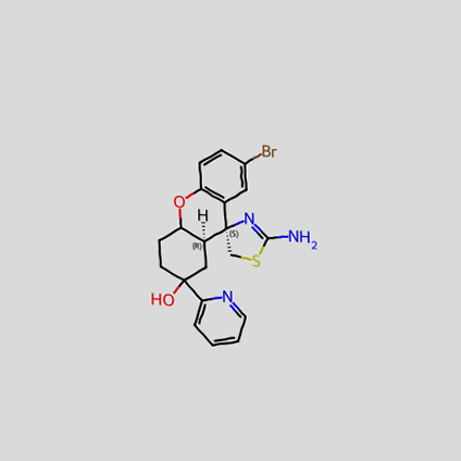 NC1=N[C@]2(CS1)c1cc(Br)ccc1OC1CCC(O)(c3ccccn3)C[C@@H]12